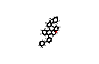 c1ccc(-c2cccc(-c3c4ccccc4c(-c4ccc5oc6ccccc6c5c4-c4ccccc4)c4ccccc34)c2)cc1